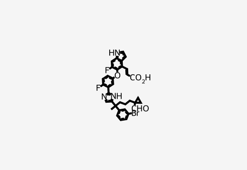 CC(CCCC1(C=O)CC1)(c1cccc(Br)c1)c1cnc(-c2cc(Oc3c(F)cc4[nH]ccc4c3/C=C/C(=O)O)ccc2F)[nH]1